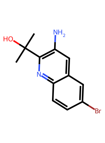 CC(C)(O)c1nc2ccc(Br)cc2cc1N